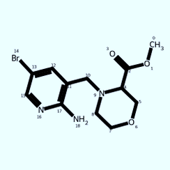 COC(=O)C1COCCN1Cc1cc(Br)cnc1N